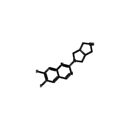 Fc1cc2cnc(N3CC4CNCC4C3)nc2cc1F